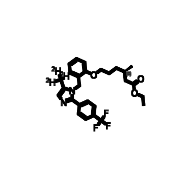 [2H]C([2H])([2H])c1cnc(-c2ccc(C(F)(F)F)cc2)n1Cc1ccccc1OCCC[C@@H](C)CC(=O)OCC